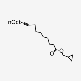 CCCCCCCCC#CCCCCCCCC(=O)OCC1CC1